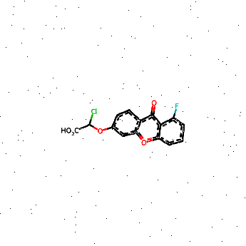 O=C(O)C(Cl)Oc1ccc2c(=O)c3c(F)cccc3oc2c1